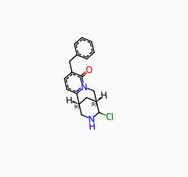 O=c1c(Cc2ccccc2)ccc2n1C[C@H]1C[C@@H]2CNC1Cl